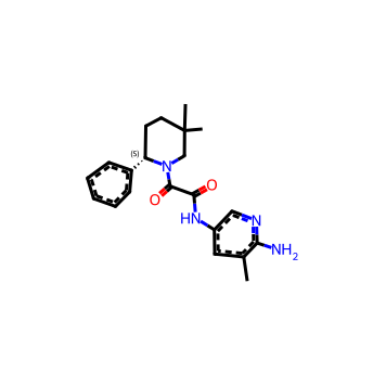 Cc1cc(NC(=O)C(=O)N2CC(C)(C)CC[C@H]2c2ccccc2)cnc1N